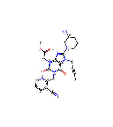 CC#CCn1c(N2CCCC(N)C2)nc2c1c(=O)n(Cc1ncccc1C#N)c(=O)n2CC(=O)OC